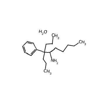 CCCCCC(N)C(CCC)(CCC)c1ccccc1.O